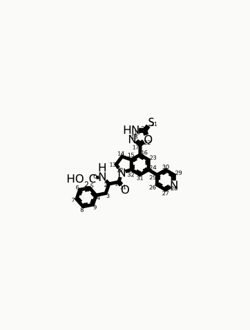 O=C(O)NC(Cc1ccccc1)C(=O)N1CCc2c(-c3n[nH]c(=S)o3)cc(-c3ccncc3)cc21